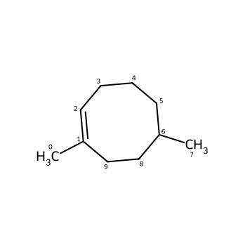 CC1=CCCCC(C)CC1